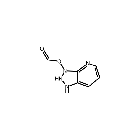 O=CON1NNc2cccnc21